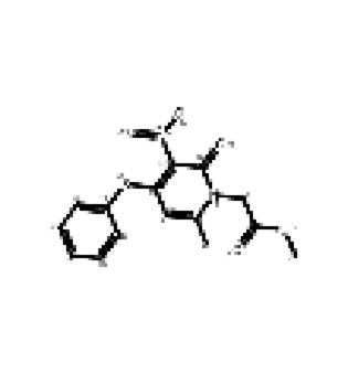 COC(=O)Cn1c(C)cc(Sc2ccccc2)c([N+](=O)[O-])c1=O